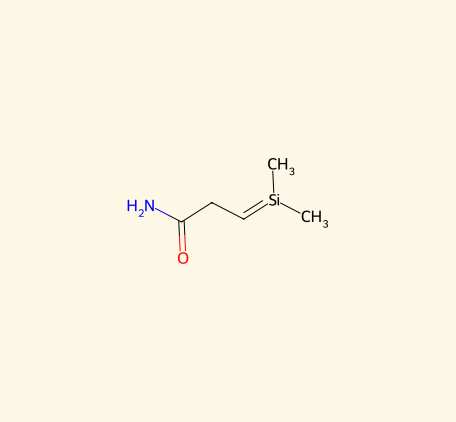 C[Si](C)=CCC(N)=O